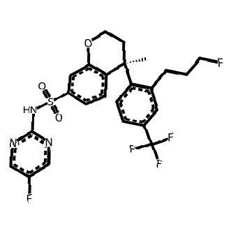 C[C@@]1(c2ccc(C(F)(F)F)cc2CCCF)CCOc2cc(S(=O)(=O)Nc3ncc(F)cn3)ccc21